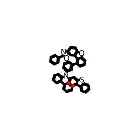 c1ccc(-c2nc3ccc4oc5cccc(-c6cccc(N(c7ccc8c(c7)sc7ccccc78)c7ccccc7-c7ccccc7)c6)c5c4c3o2)cc1